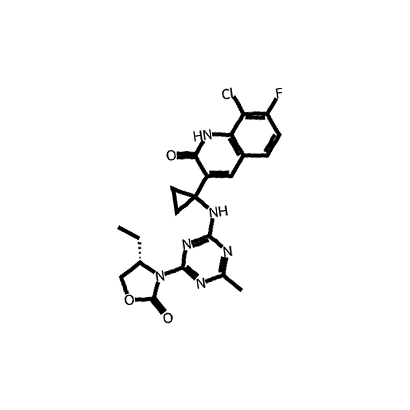 CC[C@H]1COC(=O)N1c1nc(C)nc(NC2(c3cc4ccc(F)c(Cl)c4[nH]c3=O)CC2)n1